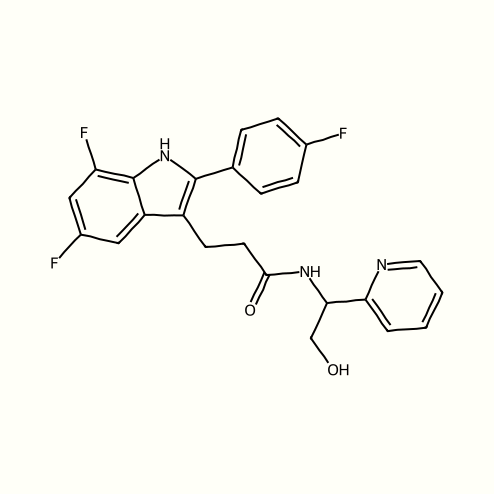 O=C(CCc1c(-c2ccc(F)cc2)[nH]c2c(F)cc(F)cc12)NC(CO)c1ccccn1